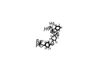 O=C(NO)c1c(F)cccc1S(=O)(=O)N1CCC(Oc2ccc(OC(F)(F)F)cc2)CC1